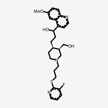 COc1ccc2nccc(C(O)CC[C@@H]3CCN(CCCSc4ncccc4F)C[C@@H]3CO)c2c1